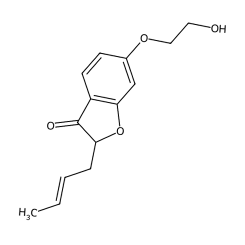 CC=CCC1Oc2cc(OCCO)ccc2C1=O